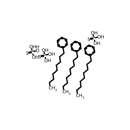 CCCCCCCCCc1ccccc1.CCCCCCCCCc1ccccc1.CCCCCCCCCc1ccccc1.OP(O)(O)=S.OP(O)(O)=S.OP(O)(O)=S